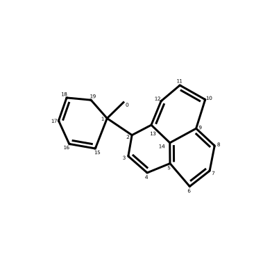 CC1(C2C=Cc3cccc4cccc2c34)C=CC=CC1